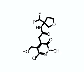 Cn1nc(Cl)c(CO)c(CC(=O)NC2(C(F)F)CCOC2)c1=O